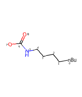 CCCCCCCCNC([O])=O